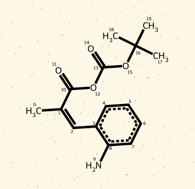 CC(=Cc1ccccc1N)C(=O)OC(=O)OC(C)(C)C